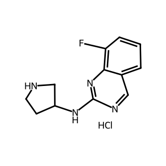 Cl.Fc1cccc2cnc(NC3CCNC3)nc12